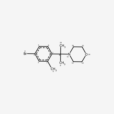 Cc1cc(Br)ccc1C(C)(C)N1CCOCC1